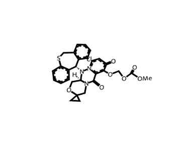 COC(=O)OCOc1c2n(ccc1=O)N([C@@H]1c3ccccc3SCc3cccc(Cl)c31)[C@@H]1COC3(CC3)CN1C2=O